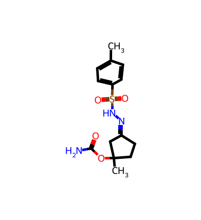 Cc1ccc(S(=O)(=O)N/N=C2/CCC(C)(OC(N)=O)C2)cc1